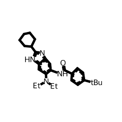 CCN(CC)c1cc2[nH]c(C3CCCCC3)nc2cc1NC(=O)c1ccc(C(C)(C)C)cc1